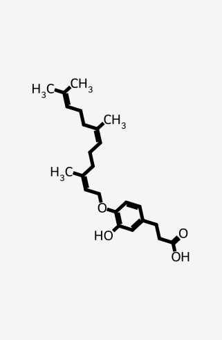 CC(C)=CCCC(C)=CCCC(C)=CCOc1ccc(CCC(=O)O)cc1O